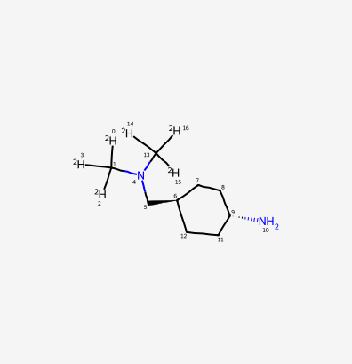 [2H]C([2H])([2H])N(C[C@H]1CC[C@H](N)CC1)C([2H])([2H])[2H]